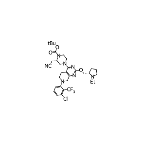 CCN1CCC[C@H]1COc1nc2c(c(N3CCN(C(=O)OC(C)(C)C)[C@@H](CC#N)C3)n1)CCN(c1cccc(Cl)c1C(F)(F)F)C2